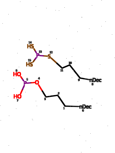 CCCCCCCCCCCCCOP(O)O.CCCCCCCCCCCCCSP(S)S